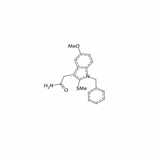 COc1ccc2c(c1)c(CC(N)=O)c(SC)n2Cc1ccccc1